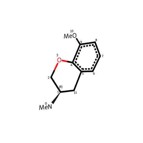 CN[C@H]1COc2c(cccc2OC)C1